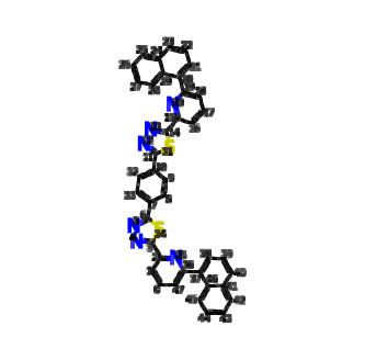 c1cc(-c2nnc(-c3ccc(-c4nnc(-c5cccc(-c6cccc7ccccc67)n5)s4)cc3)s2)nc(-c2cccc3ccccc23)c1